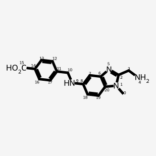 Cn1c(CN)nc2cc(NCc3ccc(C(=O)O)cc3)ccc21